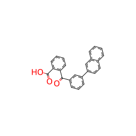 O=C(O)c1ccccc1C(=O)c1cccc(-c2ccc3ccccc3c2)c1